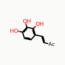 CC(=O)/C=C/c1ccc(O)c(O)c1O